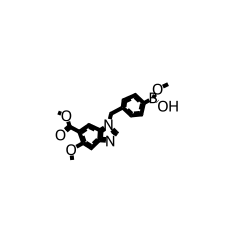 COB(O)c1ccc(Cn2cnc3cc(OC)c(C(=O)OC)cc32)cc1